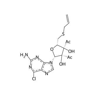 C=CCSC[C@H]1O[C@@H](n2cnc3c(Cl)nc(N)nc32)[C@@](O)(C(C)=O)[C@@]1(O)C(C)=O